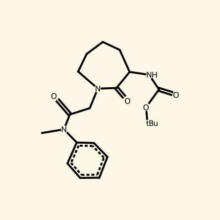 CN(C(=O)CN1CCCCC(NC(=O)OC(C)(C)C)C1=O)c1ccccc1